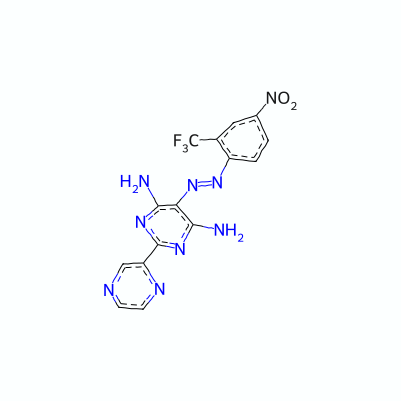 Nc1nc(-c2cnccn2)nc(N)c1/N=N/c1ccc([N+](=O)[O-])cc1C(F)(F)F